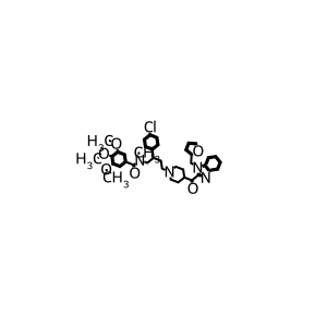 COc1cc(C(=O)N(C)CC(CCN2CCC(C(=O)c3nc4ccccc4n3Cc3ccco3)CC2)c2ccc(Cl)cc2)cc(OC)c1OC